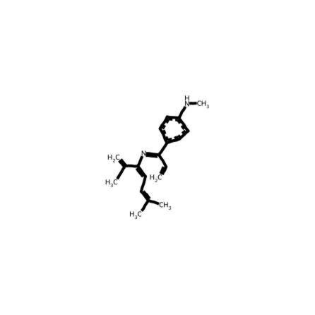 C=C/C(=N\C(=C\C=C(C)C)C(=C)C)c1ccc(NC)cc1